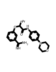 CCCC(Oc1cccc(C(=N)N)c1)C(=O)Nc1ccc(N2CCOCC2)cc1